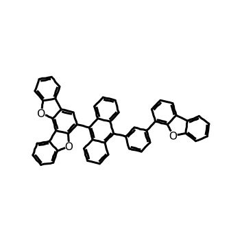 c1cc(-c2c3ccccc3c(-c3cc4c5ccccc5oc4c4c3oc3ccccc34)c3ccccc23)cc(-c2cccc3c2oc2ccccc23)c1